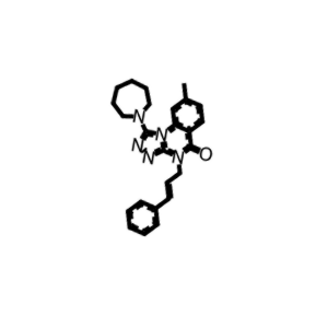 Cc1ccc2c(=O)n(C/C=C/c3ccccc3)c3nnc(N4CCCCCC4)n3c2c1